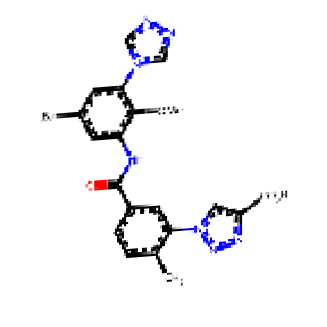 COc1c(NC(=O)c2ccc(C)c(-n3cc(C(=O)O)nn3)c2)cc(C(C)(C)C)cc1-n1cnnc1